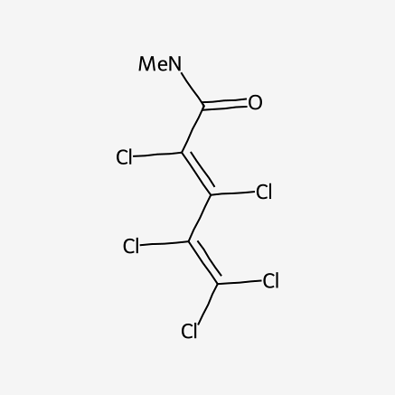 CNC(=O)/C(Cl)=C(\Cl)C(Cl)=C(Cl)Cl